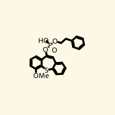 COc1cccc2c1Sc1ccccc1C=C2OP(=O)(O)OCCc1ccccc1